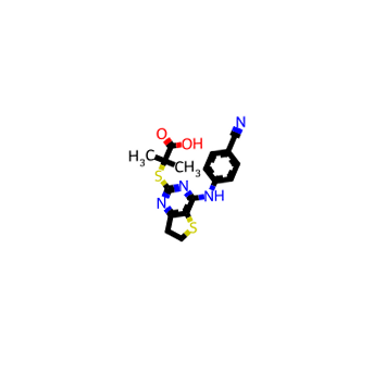 CC(C)(Sc1nc2c(c(Nc3ccc(C#N)cc3)n1)SCC2)C(=O)O